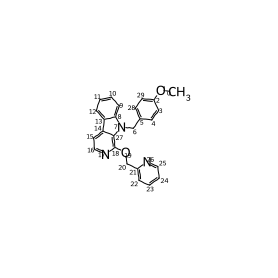 COc1ccc(Cn2c3ccccc3c3ccnc(OCc4ccccn4)c32)cc1